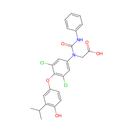 CC(C)c1cc(Oc2c(Cl)cc(N(CC(=O)O)C(=O)Nc3ccccc3)cc2Cl)ccc1O